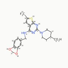 O=C(O)C1CCN(c2nc(NCc3ccc4c(c3)OCO4)c3cc(C(F)(F)F)sc3n2)CC1